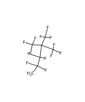 CC(F)(F)C(F)(F)C(C(F)(F)F)(C(F)(F)F)C(F)(F)F